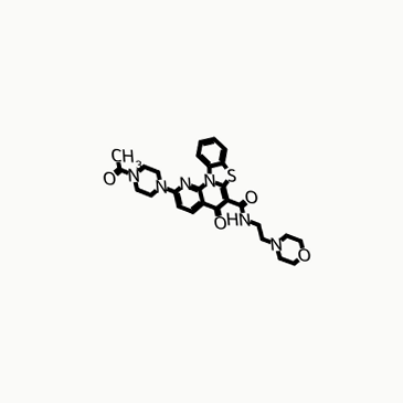 CC(=O)N1CCN(c2ccc3c(=O)c(C(=O)NCCN4CCOCC4)c4sc5ccccc5n4c3n2)CC1